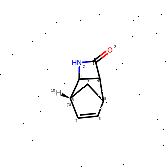 O=C1NC2C1C1C=C[C@H]2C1